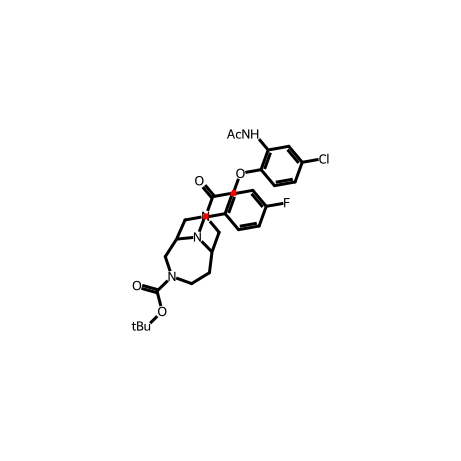 CC(=O)Nc1cc(Cl)ccc1OCC(=O)N1CC2CCN(C(=O)OC(C)(C)C)CC(C1)N2Cc1ccc(F)cc1